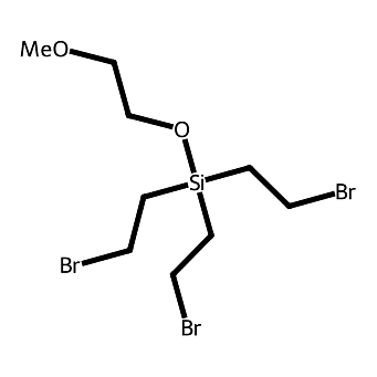 COCCO[Si](CCBr)(CCBr)CCBr